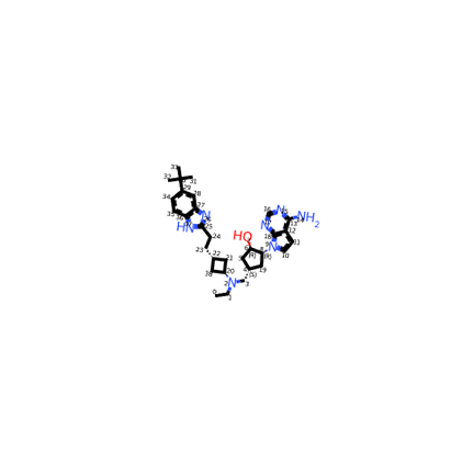 CCN(C[C@@H]1C[C@@H](O)[C@H](n2ccc3c(N)ncnc32)C1)[C@H]1C[C@@H](CCc2nc3cc(C(C)(C)C)ccc3[nH]2)C1